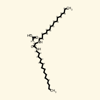 CCCCCCCCCCCCCCCCNC(=O)[C@H](CC(=O)O)NCCCCCCCCCCCCCCCC